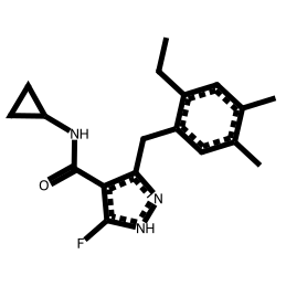 CCc1cc(C)c(C)cc1Cc1n[nH]c(F)c1C(=O)NC1CC1